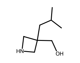 CC(C)CC1(CO)CNC1